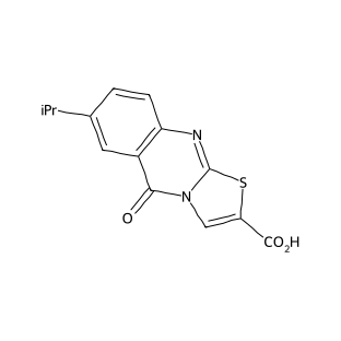 CC(C)c1ccc2nc3sc(C(=O)O)cn3c(=O)c2c1